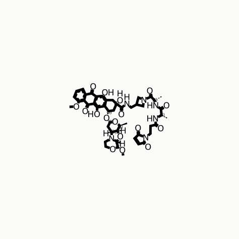 COc1cccc2c1C(=O)c1c(O)c3c(c(O)c1C2=O)C[C@@](O)(C(=O)NCC1CN(C(=O)[C@H](C)NC(=O)[C@H](C)NC(=O)CCN2C(=O)C=CC2=O)C1)C[C@@H]3O[C@H]1C[C@H]2[C@H](O[C@@H]3[C@@H](OC)OCCN32)[C@H](C)O1